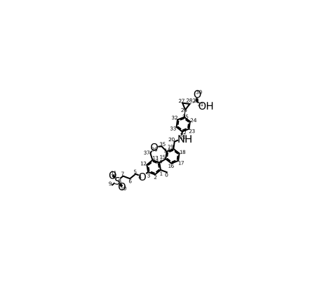 Cc1cc(OCCCS(C)(=O)=O)cc2c1-c1cccc(CNc3ccc([C@H]4C[C@@H]4C(=O)O)cc3)c1COC2